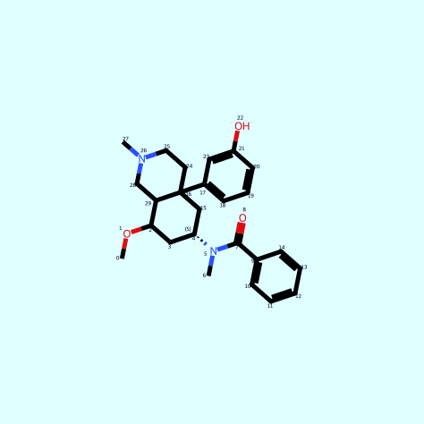 COC1C[C@@H](N(C)C(=O)c2ccccc2)CC2(c3cccc(O)c3)CCN(C)CC12